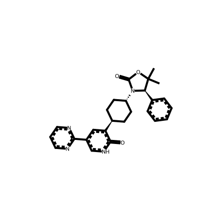 CC1(C)OC(=O)N([C@H]2CC[C@H](c3cc(-c4ncccn4)c[nH]c3=O)CC2)[C@@H]1c1ccccc1